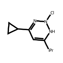 CC(C)C1=CC(C2CC2)=NN(Cl)N1